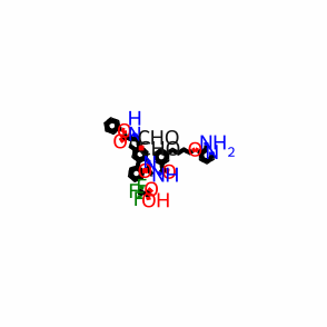 Nc1ncccc1OCCCCc1ccc2c(c1)C(=O)NCC(=O)N2c1ccc(C[C@@]2(C(=O)Oc3ccccc3)NC2(C=O)CC=O)cc1-c1ccccc1.O=C(O)C(F)(F)F